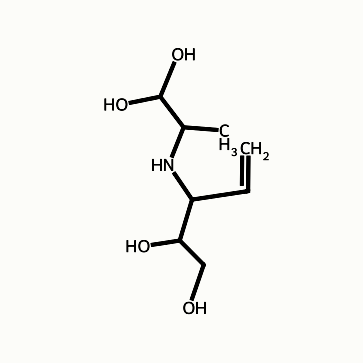 C=CC(NC(C)C(O)O)C(O)CO